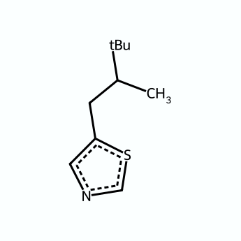 CC(Cc1cncs1)C(C)(C)C